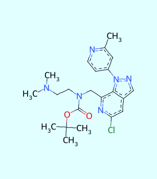 Cc1cc(-n2ncc3cc(Cl)nc(CN(CCN(C)C)C(=O)OC(C)(C)C)c32)ccn1